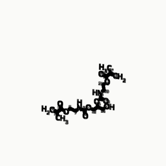 C=C(C)C(=O)OCCNC(=O)OCC(CO)OC(=O)NCCOC(=O)C(=C)C